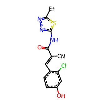 CCc1nnc(NC(=O)/C(C#N)=C/c2ccc(O)cc2Cl)s1